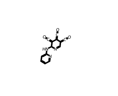 O=C=C1C=NC(Nc2ccccn2)C(=C=O)C1=C=O